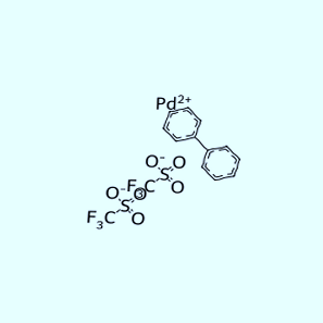 O=S(=O)([O-])C(F)(F)F.O=S(=O)([O-])C(F)(F)F.[Pd+2].c1ccc(-c2ccccc2)cc1